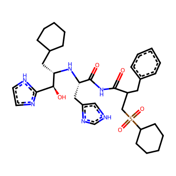 O=C(NC(=O)[C@H](Cc1c[nH]cn1)N[C@@H](CC1CCCCC1)[C@@H](O)c1ncc[nH]1)C(Cc1ccccc1)CS(=O)(=O)C1CCCCC1